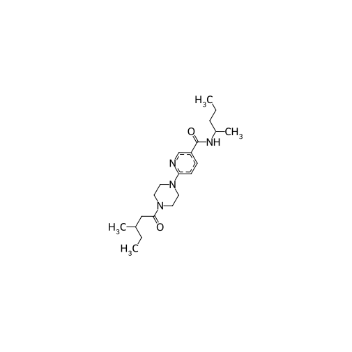 CCCC(C)NC(=O)c1ccc(N2CCN(C(=O)CC(C)CC)CC2)nc1